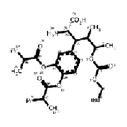 CCC(C)COC(=O)OC(C)C(C)C(c1ccc(OC(=O)C(C)C(C)C)c(OC(=O)C(C)C(C)C)c1)[C@H](N)C(=O)O